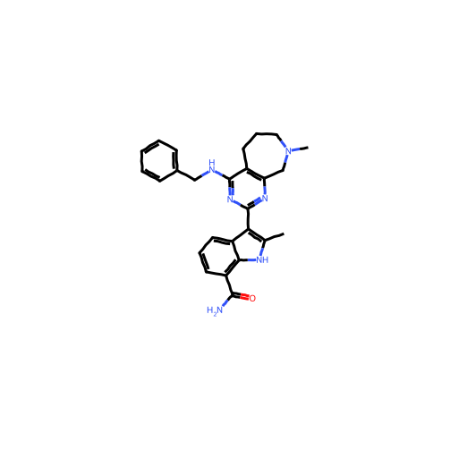 Cc1[nH]c2c(C(N)=O)cccc2c1-c1nc2c(c(NCc3ccccc3)n1)CCCN(C)C2